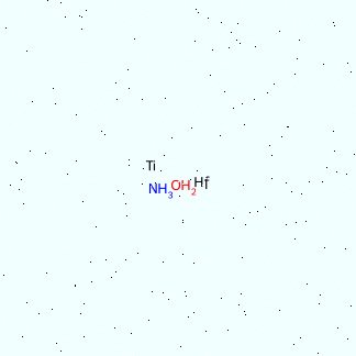 N.O.[Hf].[Ti]